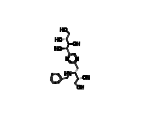 OC[C@@H](O)[C@@H](O)[C@H](O)c1cnc(C[C@@H](NCc2ccccc2)[C@H](O)CO)cn1